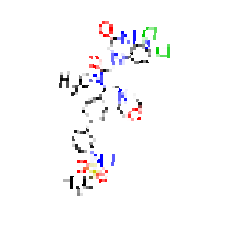 CN(C(=O)CN(CC(N)=O)c1ccc(Cl)c(Cl)c1)C(CN1CCOCC1)C1=CCC(c2cccc(NS(C)(=O)=O)c2)C=C1